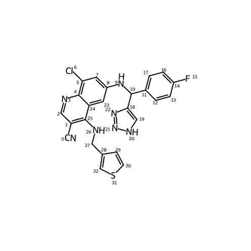 N#Cc1cnc2c(Cl)cc(NC(c3ccc(F)cc3)c3c[nH]nn3)cc2c1NCc1ccsc1